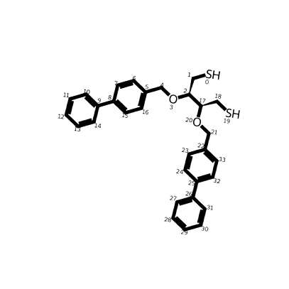 SC[C@H](OCc1ccc(-c2ccccc2)cc1)[C@@H](CS)OCc1ccc(-c2ccccc2)cc1